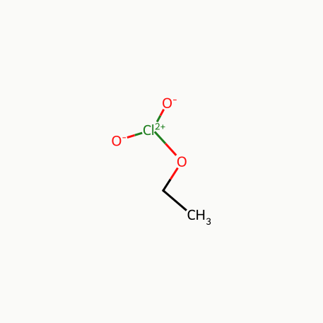 CCO[Cl+2]([O-])[O-]